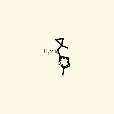 Cc1ccc([C@H](N)C2(C)CC2)o1